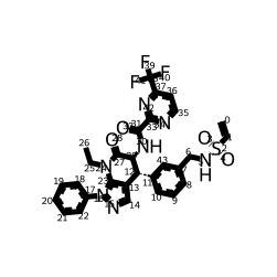 C=CS(=O)(=O)NCc1cccc([C@@H]2c3cnn(-c4ccccc4)c3N(CC)C(=O)[C@H]2NC(=O)c2nccc(C(F)(F)F)n2)c1